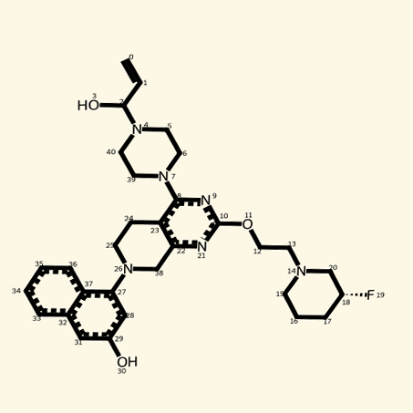 C=CC(O)N1CCN(c2nc(OCCN3CCC[C@@H](F)C3)nc3c2CCN(c2cc(O)cc4ccccc24)C3)CC1